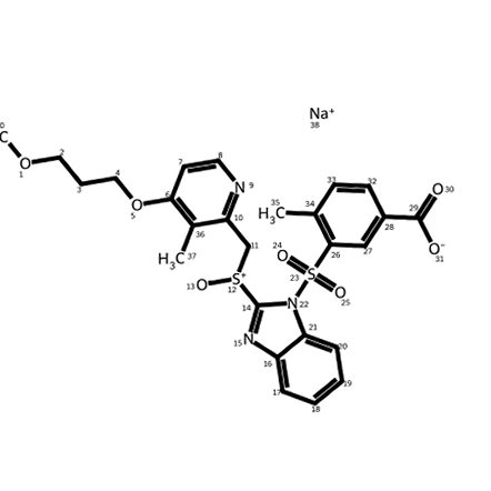 COCCCOc1ccnc(C[S+]([O-])c2nc3ccccc3n2S(=O)(=O)c2cc(C(=O)[O-])ccc2C)c1C.[Na+]